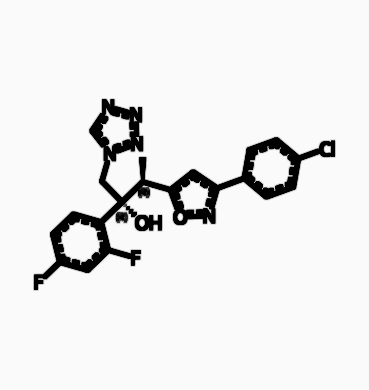 C[C@@H](c1cc(-c2ccc(Cl)cc2)no1)[C@](O)(Cn1cnnn1)c1ccc(F)cc1F